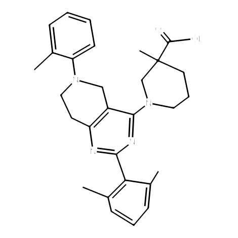 Cc1ccccc1N1CCc2nc(-c3c(C)cccc3C)nc(N3CCCC(C)(C(=O)O)C3)c2C1